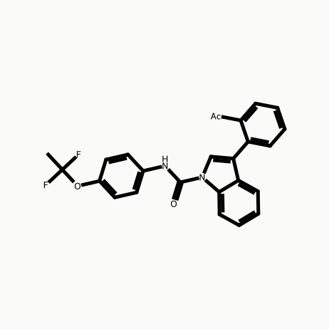 CC(=O)c1ccccc1-c1cn(C(=O)Nc2ccc(OC(C)(F)F)cc2)c2ccccc12